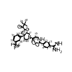 C[C@H](NC(=O)c1ccc(C(=N)N)cc1)C(=O)N1CCC(OC(=O)C(=O)C(C)(C)C)(c2cccc(C(F)(F)F)c2)CC1